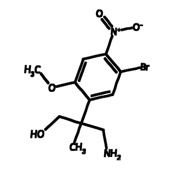 COc1cc([N+](=O)[O-])c(Br)cc1C(C)(CN)CO